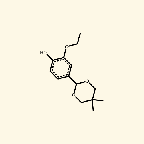 CCOc1cc(C2OCC(C)(C)CO2)ccc1O